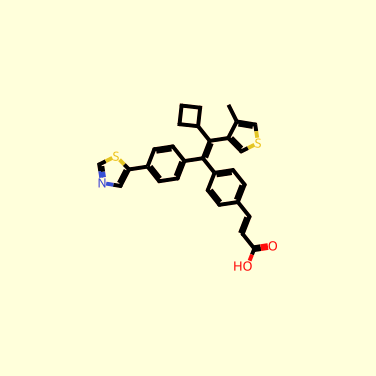 Cc1cscc1/C(=C(\c1ccc(/C=C/C(=O)O)cc1)c1ccc(-c2cncs2)cc1)C1CCC1